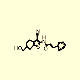 N#Cc1c(NC(=O)/C=C/c2ccccc2)sc2c1CCC(CO)C2